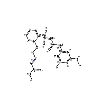 COC(=O)/C=C/COc1ccccc1S(=O)(=O)NC(=O)Nc1nc(C)nc(OC)n1